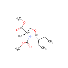 CCC(CC)[C@H]1OC[C@@](C)(C(=O)OC)N1C(=O)OC